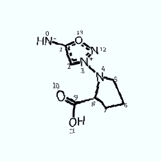 [NH-]c1c[n+](N2CCC[C@H]2C(=O)O)no1